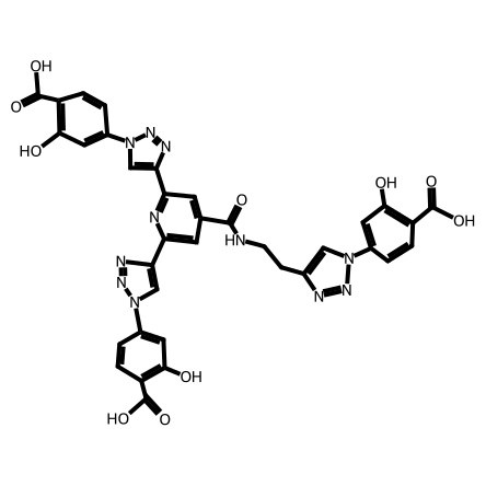 O=C(NCCc1cn(-c2ccc(C(=O)O)c(O)c2)nn1)c1cc(-c2cn(-c3ccc(C(=O)O)c(O)c3)nn2)nc(-c2cn(-c3ccc(C(=O)O)c(O)c3)nn2)c1